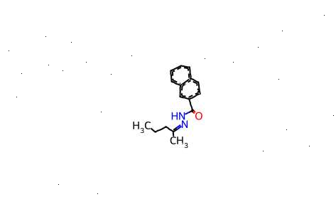 CCC/C(C)=N\NC(=O)c1ccc2ccccc2c1